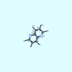 Cc1nc2c(C)c(C)c(C)nc2c(C)c1C